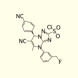 CC1=C(C#N)[C@@H](c2ccc(C#N)cc2)n2nc(S(=O)(=O)Cl)nc2N1c1cccc(CF)c1